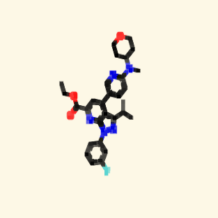 CCOC(=O)c1cc(-c2ccc(N(C)C3CCOCC3)nc2)c2c(C(C)C)nn(-c3cccc(F)c3)c2n1